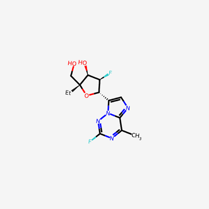 CC[C@]1(CO)O[C@@H](c2cnc3c(C)nc(F)nn23)[C@H](F)[C@@H]1O